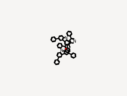 c1ccc(-c2ccc3c(c2)c2cc(-c4ccccc4)ccc2n3-c2ccccc2-c2cncc(-c3cncc(-c4ccccc4-n4c5ccc(-c6ccccc6)cc5c5cc(-c6ccccc6)ccc54)c3)c2)cc1